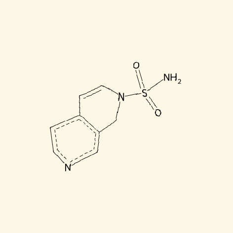 NS(=O)(=O)N1C=Cc2ccncc2C1